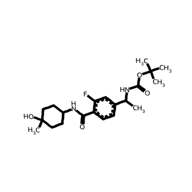 CC(NC(=O)OC(C)(C)C)c1ccc(C(=O)NC2CCC(C)(O)CC2)c(F)c1